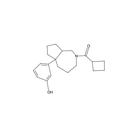 O=C(C1CCC1)N1CCCC2(c3cccc(O)c3)CCCC2C1